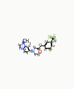 Cn1cnc2ccc(N3CCO[C@H](Cc4cc(F)cc(C(F)(F)F)c4)C3)cc21